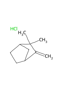 C=C1C2CCC(C2)C1(C)C.Cl